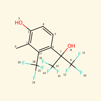 Cc1c(O)ccc(C(O)(C(F)(F)F)C(F)(F)F)c1C(F)(F)F